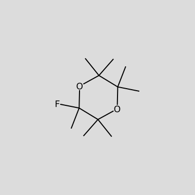 CC1(C)OC(C)(C)C(C)(F)OC1(C)C